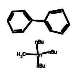 CCC[CH2][Sn]([CH3])([CH2]CCC)[CH2]CCC.c1ccc(-c2ccccc2)cc1